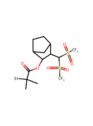 CCC(C)(C)C(=O)OC1C2CCC(C2)C1C(S(=O)(=O)C(F)(F)F)S(=O)(=O)C(F)(F)F